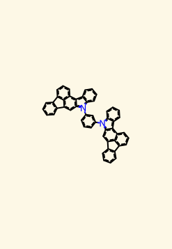 c1cc(-n2c3ccccc3c3c4cccc5c4c(cc32)-c2ccccc2-5)cc(-n2c3ccccc3c3c4cccc5c4c(cc32)-c2ccccc2-5)c1